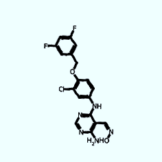 Nc1ncnc(Nc2ccc(OCc3cc(F)cc(F)c3)c(Cl)c2)c1/C=N\O